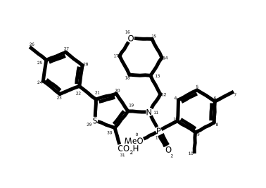 COP(=O)(c1ccc(C)cc1C)N(CC1CCOCC1)c1cc(-c2ccc(C)cc2)sc1C(=O)O